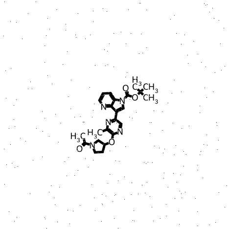 CC(=O)N1CCC(Oc2ncc(-c3cn(C(=O)OC(C)(C)C)c4cccnc34)nc2C)C1